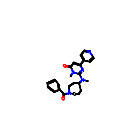 CN(c1nc(-c2ccncc2)cc(=O)n1C)C1CCCN(C(=O)c2ccccc2)CC1